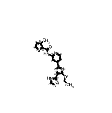 CCOc1nc(-c2ccnc(NC(=O)c3sccc3C)c2)sc1-c1nnc[nH]1